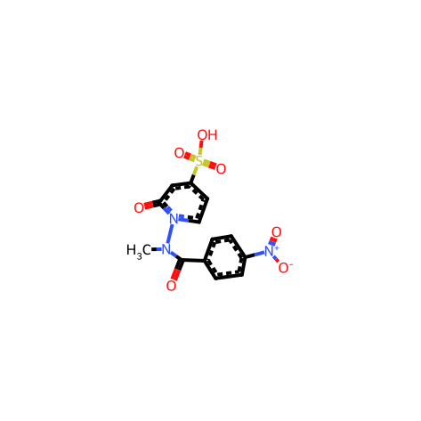 CN(C(=O)c1ccc([N+](=O)[O-])cc1)n1ccc(S(=O)(=O)O)cc1=O